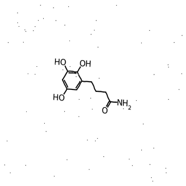 NC(=O)CCCc1cc(O)cc(O)c1O